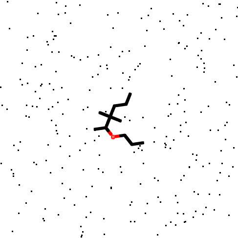 CCCOC(C)C(C)(C)CCC